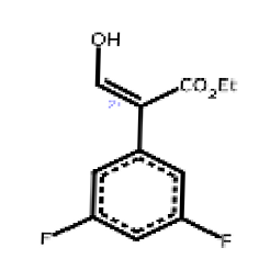 CCOC(=O)/C(=C\O)c1cc(F)cc(F)c1